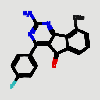 COc1cccc2c1-c1nc(N)nc(-c3ccc(F)cc3)c1C2=O